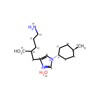 C[C@H]1CC[C@H](n2cnc(CC(CCCN)C(=O)O)c2)CC1.O